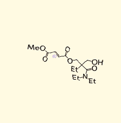 CCN(CC)C(=O)C(CC)(CO)COC(=O)/C=C/C(=O)OC